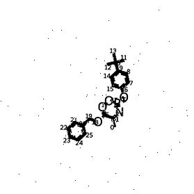 C[C@H](N=[P+]([O-])Oc1ccc(C(C)(C)C)cc1)C(=O)OCc1ccccc1